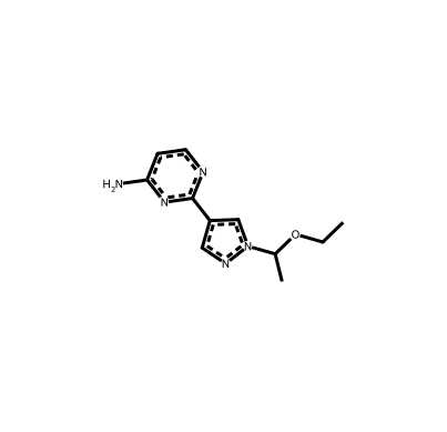 CCOC(C)n1cc(-c2nccc(N)n2)cn1